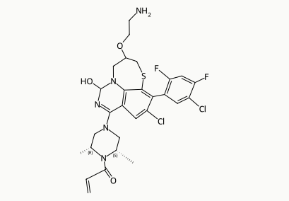 C=CC(=O)N1[C@H](C)CN(C2=NC(O)N3CC(OCCN)CSc4c(-c5cc(Cl)c(F)cc5F)c(Cl)cc2c43)C[C@@H]1C